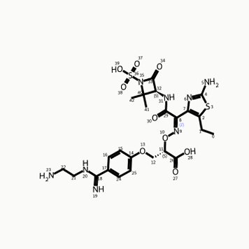 CCc1sc(N)nc1/C(=N/O[C@@H](COc1ccc(C(=N)NCCN)cc1)C(=O)O)C(=O)N[C@@H]1C(=O)N(S(=O)(=O)O)C1(C)C